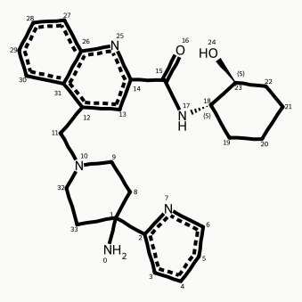 NC1(c2ccccn2)CCN(Cc2cc(C(=O)N[C@H]3CCCC[C@@H]3O)nc3ccccc23)CC1